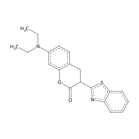 CCN(CC)c1ccc2c(c1)OC(=O)C(c1nc3ccccc3s1)C2